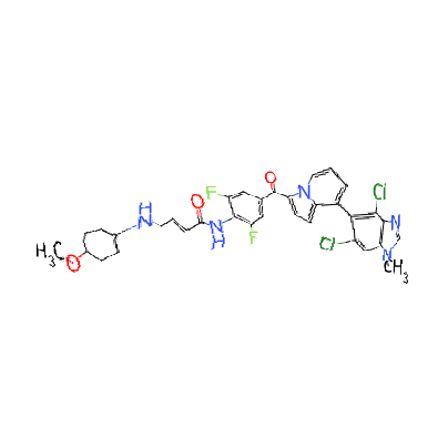 COC1CCC(NC/C=C/C(=O)Nc2c(F)cc(C(=O)c3ccc4c(-c5c(Cl)cc6c(ncn6C)c5Cl)cccn34)cc2F)CC1